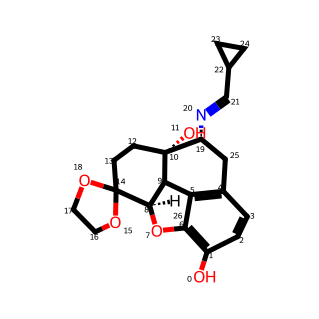 Oc1ccc2c3c1O[C@@H]1C3[C@@](O)(CCC13OCCO3)[C@H](/N=C/C1CC1)C2